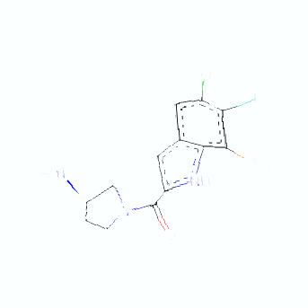 N[C@@H]1CCN(C(=O)c2cc3cc(Cl)c(F)c(P)c3[nH]2)C1